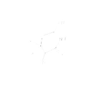 CC1NC(=O)C(C(C)C)C(C)(C)O1